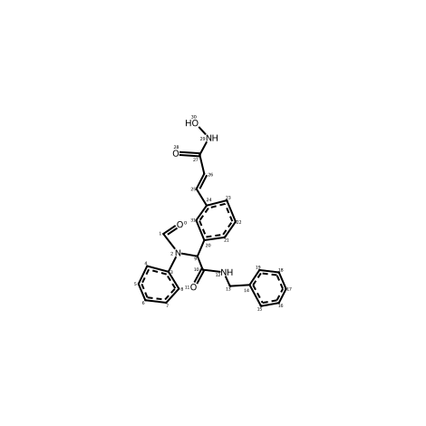 O=CN(c1ccccc1)C(C(=O)NCc1ccccc1)c1cccc(C=CC(=O)NO)c1